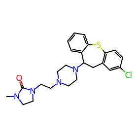 CN1CCN(CCN2CCN(C3Cc4cc(Cl)ccc4Sc4ccccc43)CC2)C1=O